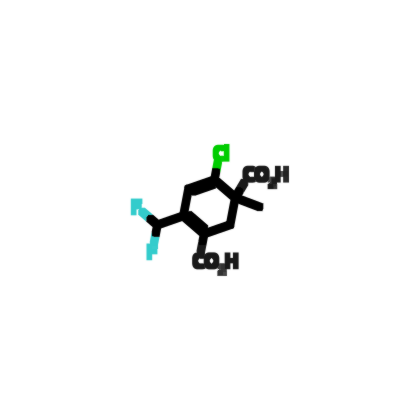 CC1(C(=O)O)CC(C(=O)O)=C(C(F)F)C=C1Cl